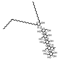 CCCCCCCC/C=C\CCCCCCCCCCCCCCCC(=O)N[C@@H](CO[C@@H]1OC(CO)[C@@H](O[C@@H]2OC(CO)[C@H](O)[C@H](O[C@H]3OC(CO)[C@H](O)[C@H](O[C@@H]4OC(CO)[C@H](O)[C@H](O[C@@H]5OC(CO)[C@H](O)[C@H](O)C5O)C4NC(C)=O)C3O)C2O)[C@H](O)C1O)[C@H](O)/C=C/CCCCCCCCCCCCC